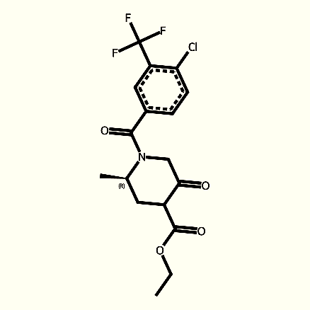 CCOC(=O)C1C[C@@H](C)N(C(=O)c2ccc(Cl)c(C(F)(F)F)c2)CC1=O